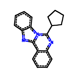 c1ccc2c(c1)nc(C1CCCC1)n1c3ccccc3nc21